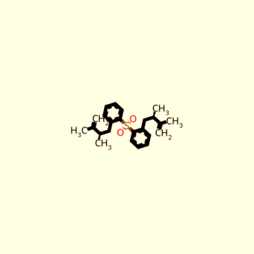 C=C(C)[C@H](C)Cc1ccccc1S(=O)(=O)c1ccccc1C[C@@H](C)C(=C)C